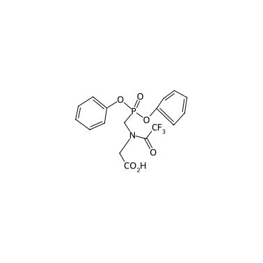 O=C(O)CN(CP(=O)(Oc1ccccc1)Oc1ccccc1)C(=O)C(F)(F)F